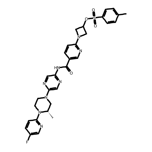 Cc1ccc(S(=O)(=O)OC2CN(c3ccc(C(=O)Nc4cnc(N5CCN(c6ccc(F)cn6)[C@@H](C)C5)cn4)cn3)C2)cc1